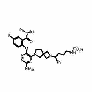 CCN(C(=O)c1cc(F)ccc1Oc1nnc(NC)nc1N1CCC2(C1)CN(C(CCCNC(=O)O)C(C)C)C2)C(C)C